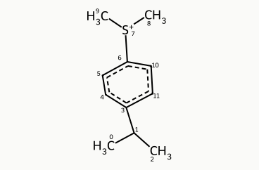 CC(C)c1ccc([S+](C)C)cc1